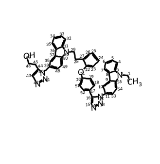 CCn1c2ccccc2c2cc(-n3nncc3-c3ccc(Oc4ccccc4CCn4c5ccccc5c5cc(-n6nncc6CCO)ccc54)cc3)ccc21